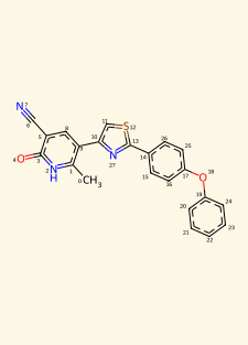 Cc1[nH]c(=O)c(C#N)cc1-c1csc(-c2ccc(Oc3ccccc3)cc2)n1